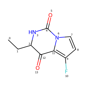 CCC1NC(=O)n2ccc(F)c2C1=O